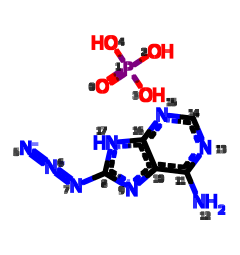 O=P(O)(O)O.[N-]=[N+]=Nc1nc2c(N)ncnc2[nH]1